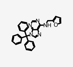 c1ccc(C(c2ccccc2)(c2ccccc2)n2cnc3c(NCc4ccco4)ncnc32)cc1